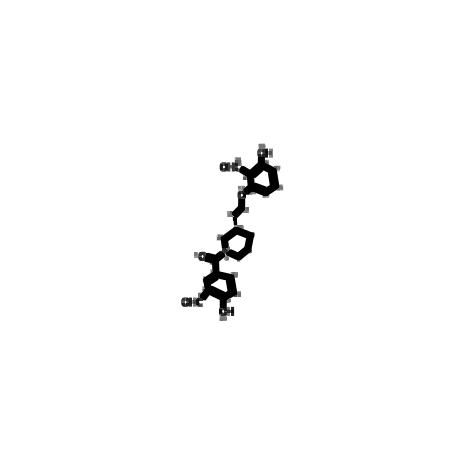 O=Cc1cc(C(=O)N2CCC[C@@H](CCOc3cccc(O)c3C=O)C2)ccc1O